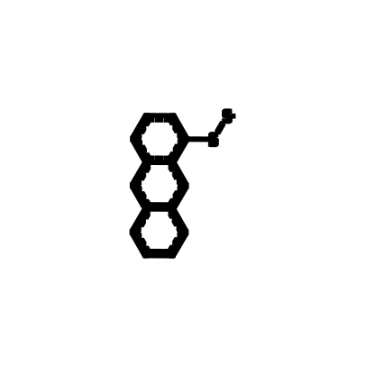 [S]Sc1cccc2cc3ccccc3cc12